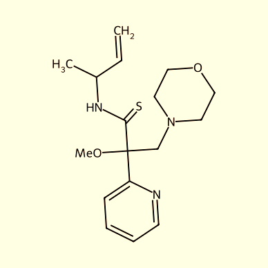 C=CC(C)NC(=S)C(CN1CCOCC1)(OC)c1ccccn1